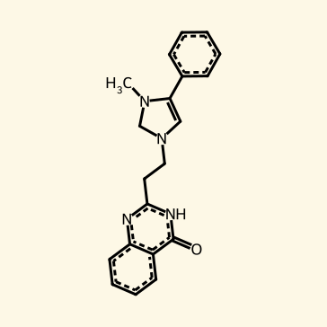 CN1CN(CCc2nc3ccccc3c(=O)[nH]2)C=C1c1ccccc1